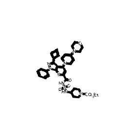 CCOC(=O)N1CCC(NS(=O)(=O)NC(=O)c2cc(N3CCC(N4CCOCC4)CC3)c3c(C4CCC4)nn(-c4ccccc4)c3n2)CC1